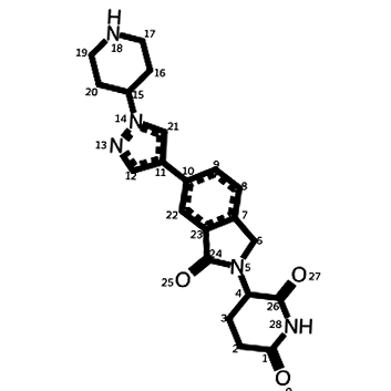 O=C1CCC(N2Cc3ccc(-c4cnn(C5CCNCC5)c4)cc3C2=O)C(=O)N1